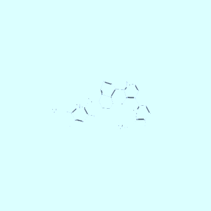 COc1nc(-c2ccnc(-c3cccc4c3CCC[C@@H]4Nc3nc(OC)c(C=O)cc3C(F)(F)F)c2Cl)ccc1C=O